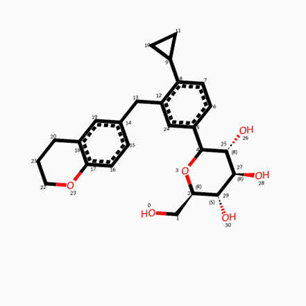 OC[C@H]1OC(c2ccc(C3CC3)c(Cc3ccc4c(c3)CCCO4)c2)[C@H](O)[C@@H](O)[C@@H]1O